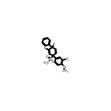 COc1ccc(C2(S(C)(=O)=O)C=CC(F)(c3ccccc3)C(F)=C2)cc1Cl